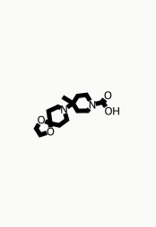 CC1(N2CCC3(CC2)OCCO3)CCN(C(=O)O)CC1